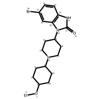 CCOC1CCC(N2CCC(n3c(=O)[nH]c4ccc(Br)cc43)CC2)CC1